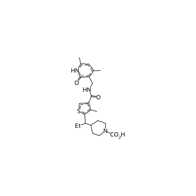 CCC(c1scc(C(=O)NCc2c(C)cc(C)[nH]c2=O)c1C)C1CCN(C(=O)O)CC1